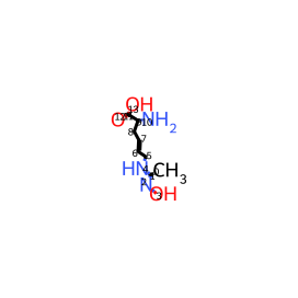 C/C(=N\O)NC/C=C/C[C@H](N)C(=O)O